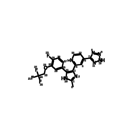 Cc1nc(-c2cc(-c3nn[nH]n3)ccn2)c(-c2ccc(F)c(OCC(F)(F)F)c2)[nH]1